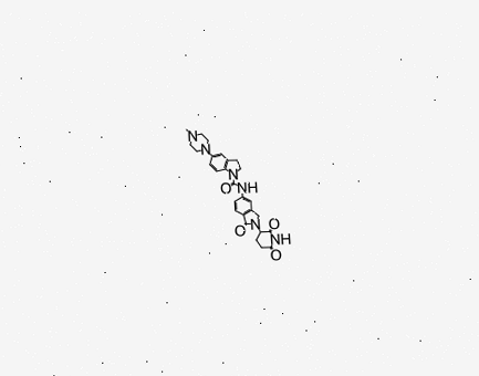 CN1CCN(c2ccc3c(c2)CCN3C(=O)Nc2ccc3c(c2)CN(C2CCC(=O)NC2=O)C3=O)CC1